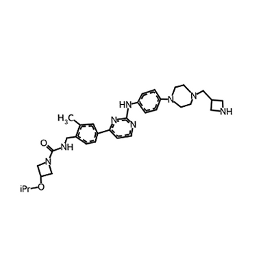 Cc1cc(-c2ccnc(Nc3ccc(N4CCN(CC5CNC5)CC4)cc3)n2)ccc1CNC(=O)N1CC(OC(C)C)C1